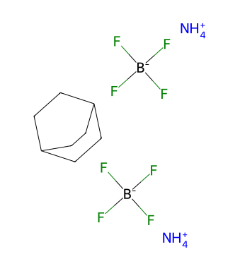 C1CC2CCC1CC2.F[B-](F)(F)F.F[B-](F)(F)F.[NH4+].[NH4+]